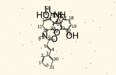 C\C=C/C(/C=C/C(=O)N(C)[C@H]1CC[C@]2(O)[C@@H]3Cc4ccc(O)c5c4[C@]2(CCN3)C1O5)=C\C